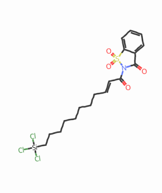 O=C(C=CCCCCCCCC[Si](Cl)(Cl)Cl)N1C(=O)c2ccccc2S1(=O)=O